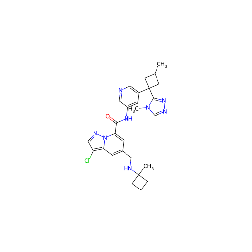 CC1CC(c2cncc(NC(=O)c3cc(CNC4(C)CCC4)cc4c(Cl)cnn34)c2)(c2nncn2C)C1